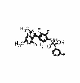 Cc1cn2c(C)nc(-c3ccc(NC(=O)C(O)c4cccc(F)c4)c(F)c3F)c2c(N)n1